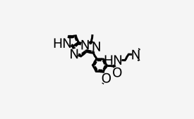 COc1ccc(-c2nc(C)n3c2cnc2[nH]ccc23)cc1C(=O)NCCN(C)C